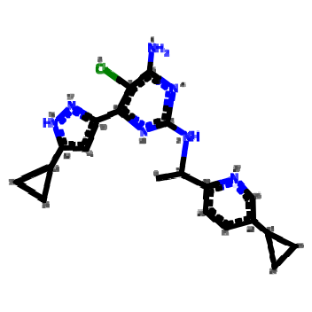 CC(Nc1nc(N)c(Cl)c(-c2cc(C3CC3)[nH]n2)n1)c1ccc(C2CC2)cn1